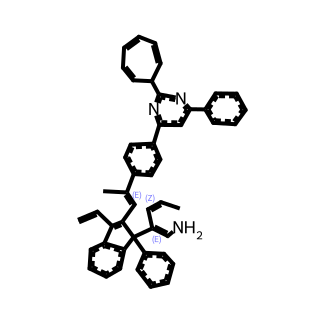 C=CC1=C(/C=C(\C)c2ccc(-c3cc(-c4ccccc4)nc(C4C=CC=CC=C4)n3)cc2)C(C(/C=C\C)=C/N)(c2ccccc2)c2ccccc21